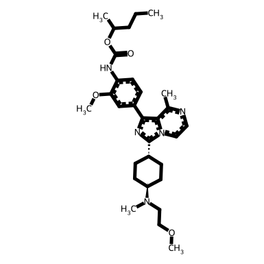 CCCC(C)OC(=O)Nc1ccc(-c2nc([C@H]3CC[C@H](N(C)CCOC)CC3)n3ccnc(C)c23)cc1OC